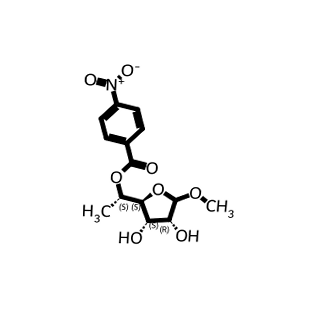 COC1O[C@H]([C@H](C)OC(=O)c2ccc([N+](=O)[O-])cc2)[C@@H](O)[C@H]1O